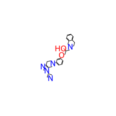 CN1CC(n2cnc3c2CN(c2cccc(OCC(O)CN4CCc5ccccc5C4)c2)CC3)C1